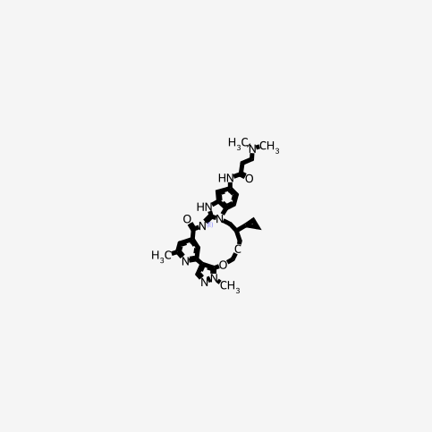 Cc1cc2cc(n1)-c1cnn(C)c1OCCCC(C1CC1)CN1/C(=N/C2=O)Nc2cc(NC(=O)CCN(C)C)ccc21